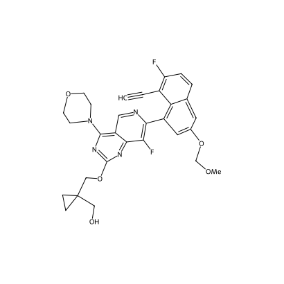 C#Cc1c(F)ccc2cc(OCOC)cc(-c3ncc4c(N5CCOCC5)nc(OCC5(CO)CC5)nc4c3F)c12